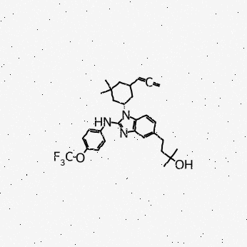 C=C=CC1C[C@H](n2c(Nc3ccc(OC(F)(F)F)cc3)nc3cc(CCC(C)(C)O)ccc32)CC(C)(C)C1